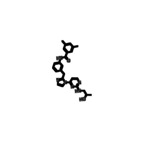 Cc1cc(C)cc(C(=O)Nc2cccc(Cc3nccn3-c3ccnc(NCC(C)O)n3)c2)c1